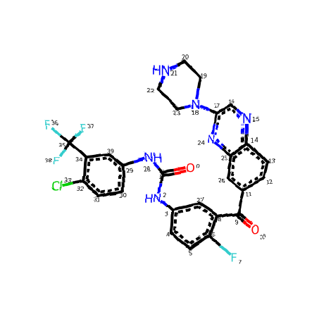 O=C(Nc1ccc(F)c(C(=O)c2ccc3ncc(N4CCNCC4)nc3c2)c1)Nc1ccc(Cl)c(C(F)(F)F)c1